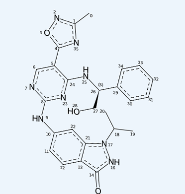 Cc1noc(-c2cnc(Nc3ccc4c(=O)[nH]n(C(C)C)c4c3)nc2N[C@H](CO)c2ccccc2)n1